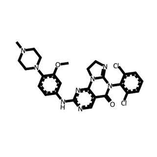 COc1cc(Nc2ncc3c(n2)N2CCN=C2N(c2c(Cl)cccc2Cl)C3=O)ccc1N1CCN(C)CC1